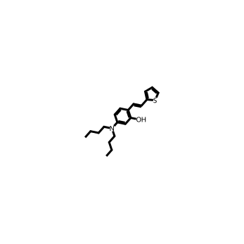 CCCCN(CCCC)c1ccc(C=Cc2cccs2)c(O)c1